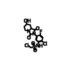 O=C1C2CC(O)CCN2C(=O)N1c1cc(NS(=O)(=O)CCl)c(Cl)cc1F